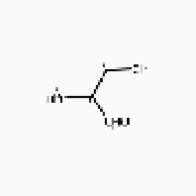 CCCC(C=O)CCl